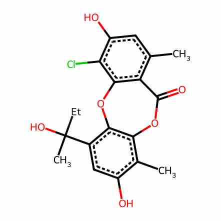 CCC(C)(O)c1cc(O)c(C)c2c1Oc1c(Cl)c(O)cc(C)c1C(=O)O2